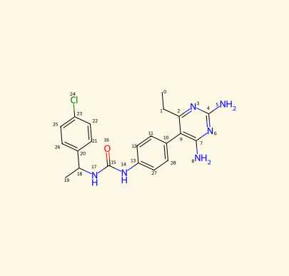 CCc1nc(N)nc(N)c1-c1ccc(NC(=O)NC(C)c2ccc(Cl)cc2)cc1